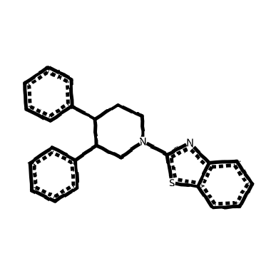 [c]1cccc2sc(N3CCC(c4ccccc4)C(c4ccccc4)C3)nc12